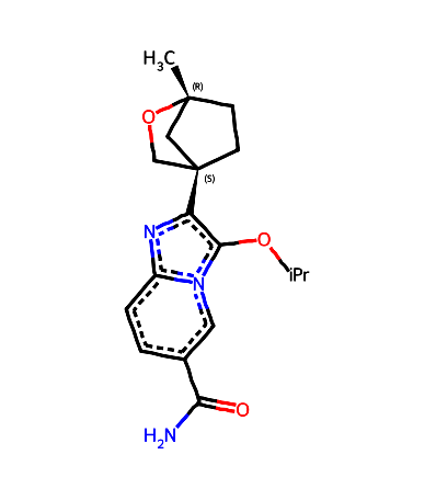 CC(C)Oc1c([C@]23CC[C@](C)(C2)OC3)nc2ccc(C(N)=O)cn12